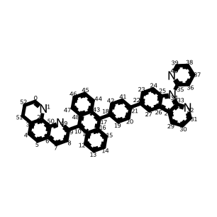 C1=Nc2c(ccc3ccc(-c4c5ccccc5c(-c5ccc(-c6ccc7c(c6)c6cccnc6n7-c6ccccn6)cc5)c5ccccc45)nc23)CC1